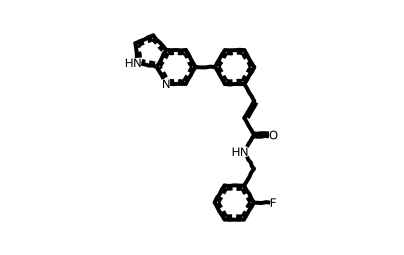 O=C(C=Cc1cccc(-c2cnc3[nH]ccc3c2)c1)NCc1ccccc1F